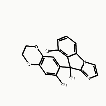 Oc1cc2c(cc1C1(O)c3c(Cl)cccc3-n3ccnc31)OCCO2